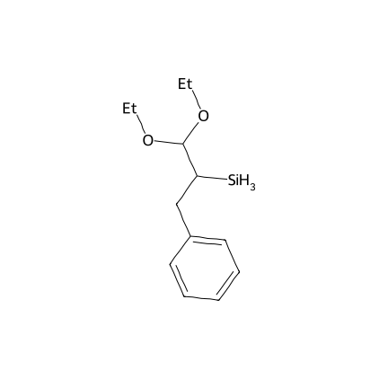 CCOC(OCC)C([SiH3])Cc1ccccc1